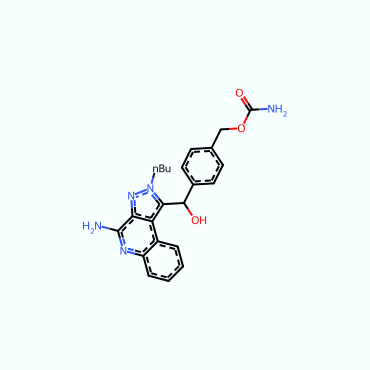 CCCCn1nc2c(N)nc3ccccc3c2c1C(O)c1ccc(COC(N)=O)cc1